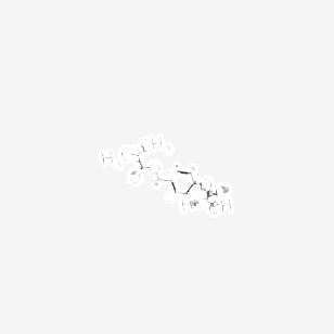 CC(C)C(=O)OCc1ccc(OP(=O)(O)O)cc1